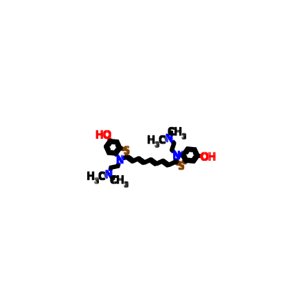 CN(C)CCN1/C(=C/C=C/C=C/C=C/c2sc3cc(O)ccc3[n+]2CCN(C)C)Sc2cc(O)ccc21